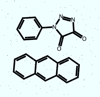 O=C1N=NN(c2ccccc2)C1=O.c1ccc2cc3ccccc3cc2c1